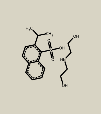 CC(C)c1ccc2ccccc2c1S(=O)(=O)O.OCCNCCO